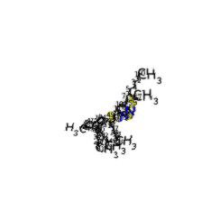 CCCCCCc1cc(-c2ccc(-c3cc(CCCCCC)c(-c4ccc5c(c4)C(CCCCCC)(CCCCCC)c4cc(C)ccc4-5)s3)c3nsnc23)sc1C